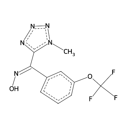 Cn1nnnc1/C(=N/O)c1cccc(OC(F)(F)F)c1